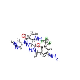 C[C@@H](NC(=O)c1nn(-c2cnn(C)c2)c(=O)c2cc[nH]c12)c1cc(N)cc(C(F)(F)F)c1